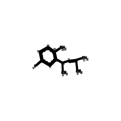 CC(C)=CC(C)c1cc(F)ccc1N